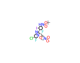 COC(=O)N1CCO[C@@H](Cc2c(-c3c(F)cc(NC(=O)OC(C)(C)C)cc3I)nc3cc(Cl)c(F)cn23)C1